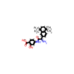 CC1(C)CCC(C)(C)c2cc(C(N)C(=O)Nc3ccc(C(=O)O)c(O)c3)ccc21